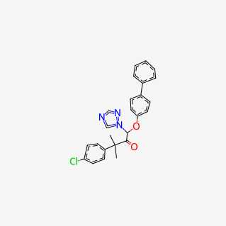 CC(C)(C(=O)C(Oc1ccc(-c2ccccc2)cc1)n1cncn1)c1ccc(Cl)cc1